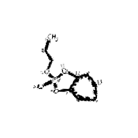 C=CCOP1(=O)Oc2ccccc2O1